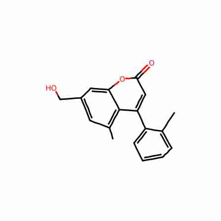 Cc1ccccc1-c1cc(=O)oc2cc(CO)cc(C)c12